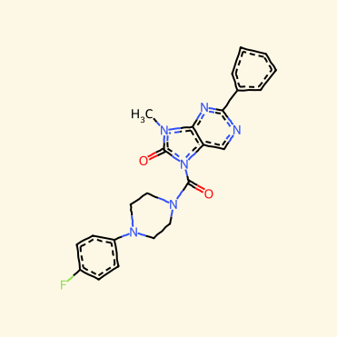 Cn1c(=O)n(C(=O)N2CCN(c3ccc(F)cc3)CC2)c2cnc(-c3ccccc3)nc21